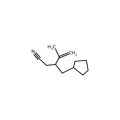 C=C(C)C(CC#N)CC1CCCC1